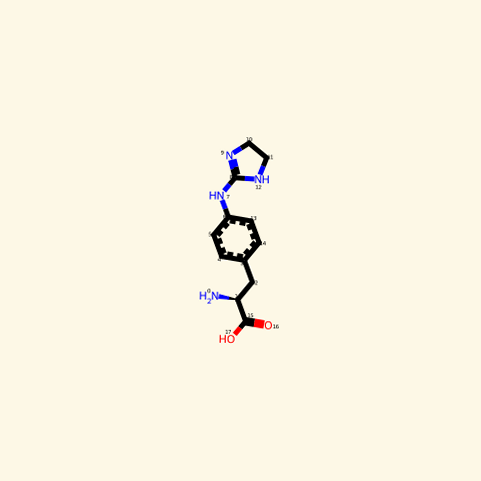 N[C@@H](Cc1ccc(NC2=NCCN2)cc1)C(=O)O